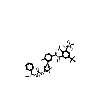 CC[C@@H](NC(=O)Oc1cn(-c2cc(C(=O)Nc3cc(C(C)(C)C)cc(NS(C)(=O)=O)c3OC)ccc2C)nn1)c1ccccc1